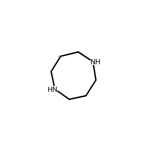 [CH]1CNCCCNC1